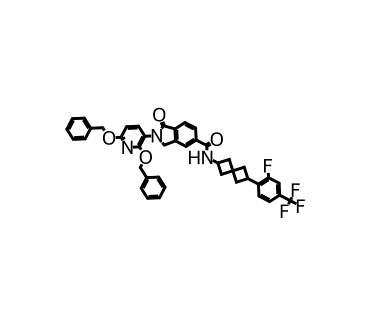 O=C(NC1CC2(C1)CC(c1ccc(C(F)(F)F)cc1F)C2)c1ccc2c(c1)CN(c1ccc(OCc3ccccc3)nc1OCc1ccccc1)C2=O